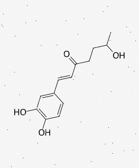 CC(O)CCC(=O)/C=C/c1ccc(O)c(O)c1